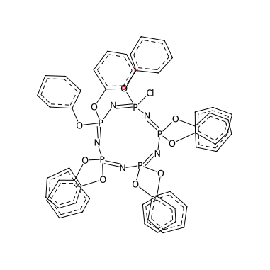 ClP1(Oc2ccccc2)=NP(Oc2ccccc2)(Oc2ccccc2)=NP(Oc2ccccc2)(Oc2ccccc2)=NP(Oc2ccccc2)(Oc2ccccc2)=NP(Oc2ccccc2)(Oc2ccccc2)=N1